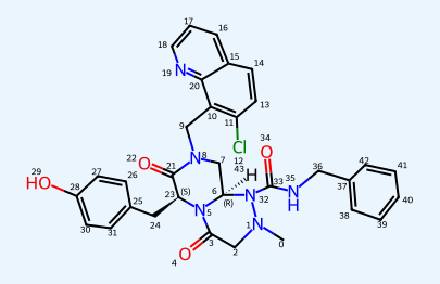 CN1CC(=O)N2[C@@H](CN(Cc3c(Cl)ccc4cccnc34)C(=O)[C@@H]2Cc2ccc(O)cc2)N1C(=O)NCc1ccccc1